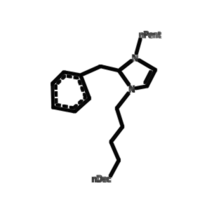 CCCCCCCCCCCCCCN1C=CN(CCCCC)C1Cc1ccccc1